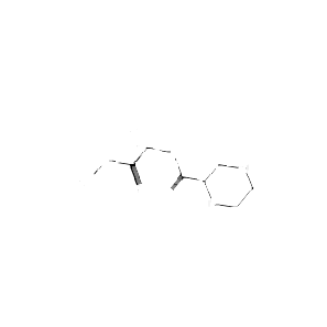 COC(=O)[C@H](C)NC(=O)C1CNCCN1